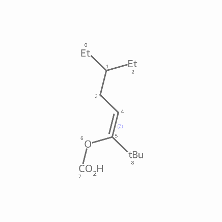 CCC(CC)C/C=C(\OC(=O)O)C(C)(C)C